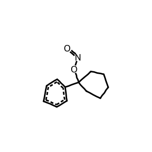 O=NOC1(c2ccccc2)CCCCC1